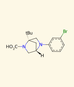 CC(C)(C)[C@]12C[C@@H](CN1C(=O)O)N(c1cccc(Br)c1)C2